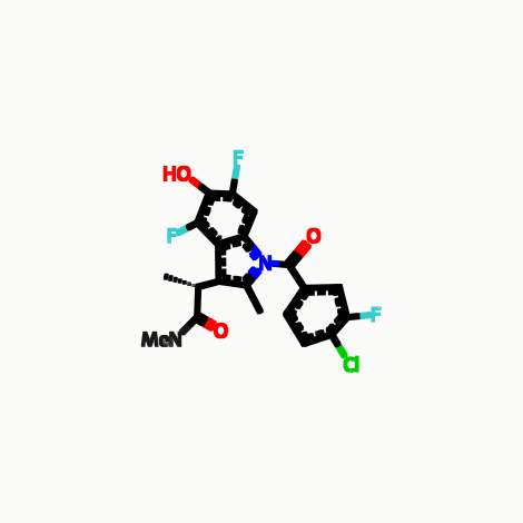 CNC(=O)[C@H](C)c1c(C)n(C(=O)c2ccc(Cl)c(F)c2)c2cc(F)c(O)c(F)c12